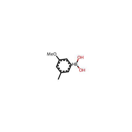 COc1cccc(C)c1.OBO